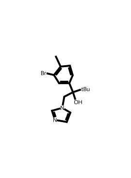 Cc1ccc(C(O)(Cn2ccnc2)C(C)(C)C)cc1Br